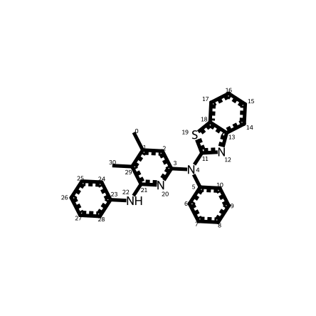 Cc1cc(N(c2ccccc2)c2nc3ccccc3s2)nc(Nc2ccccc2)c1C